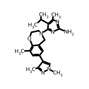 Cc1cc(-c2cn(C)nc2C)cc2c1OCCN(c1nc(N)nc(C)c1C(C)C)C2